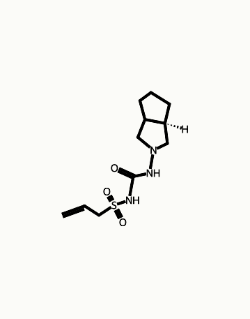 C=CCS(=O)(=O)NC(=O)NN1CC2CCC[C@H]2C1